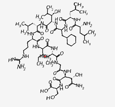 CC[C@H](C)C(NC(=O)[C@@H](CCCNC(=N)N)NC(=O)[C@H](CC(C)C)NC(=O)[C@@H](NC(=O)C(CC1CCCCC1)NC(=O)[C@H](CC(C)C)NC(=O)[C@H](N)CC(C)C)[C@H](O)C(C)C)C(=O)N[C@H](C(=O)NCC(=O)N[C@H](C(=O)N[C@@H](CO)C(=O)O)[C@H](O)C(N)=O)[C@H](C)O